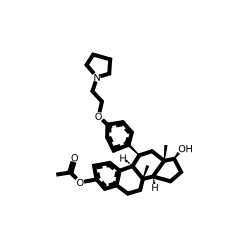 CC(=O)Oc1ccc2c(c1)CC[C@@]1(C)[C@@H]3CC[C@H](O)[C@@]3(C)C[C@H](c3ccc(OCCN4CCCC4)cc3)[C@H]21